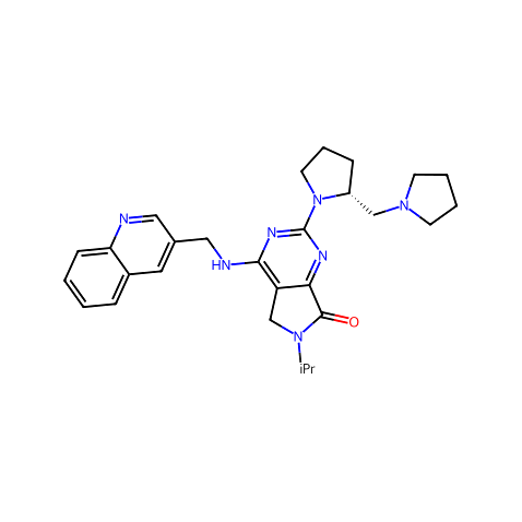 CC(C)N1Cc2c(NCc3cnc4ccccc4c3)nc(N3CCC[C@@H]3CN3CCCC3)nc2C1=O